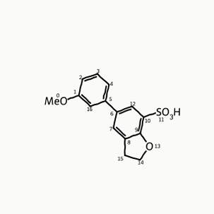 COc1cccc(-c2cc3c(c(S(=O)(=O)O)c2)OCC3)c1